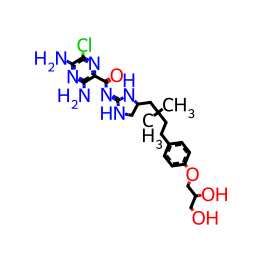 CC(C)(CCc1ccc(OCC(O)CO)cc1)CC1CN/C(=N/C(=O)c2nc(Cl)c(N)nc2N)N1